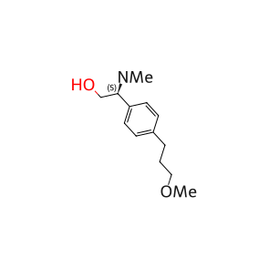 CN[C@H](CO)c1ccc(CCCOC)cc1